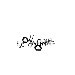 NNC(=O)c1ccccc1NC(=O)Nc1cccc(C(F)(F)F)c1